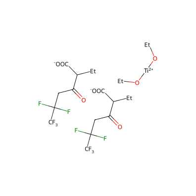 CCC(C(=O)[O-])C(=O)CC(F)(F)C(F)(F)F.CCC(C(=O)[O-])C(=O)CC(F)(F)C(F)(F)F.CC[O][Ti+2][O]CC